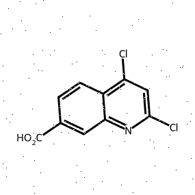 O=C(O)c1ccc2c(Cl)cc(Cl)nc2c1